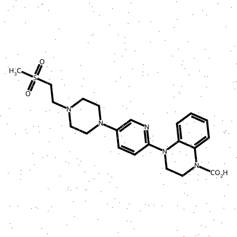 CS(=O)(=O)CCN1CCN(c2ccc(N3CCN(C(=O)O)c4ccccc43)nc2)CC1